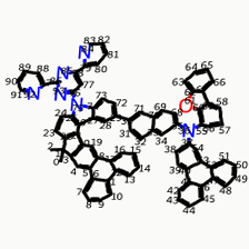 CC1(C)c2cc3c4ccccc4c4ccccc4c3cc2-c2c1ccc1c2c2cc(-c3ccc4cc(N(c5ccc6c7ccccc7c7ccccc7c6c5)c5cccc6c5oc5ccccc56)ccc4c3)ccc2n1-c1cc(-c2ccccn2)nc(-c2ccccn2)n1